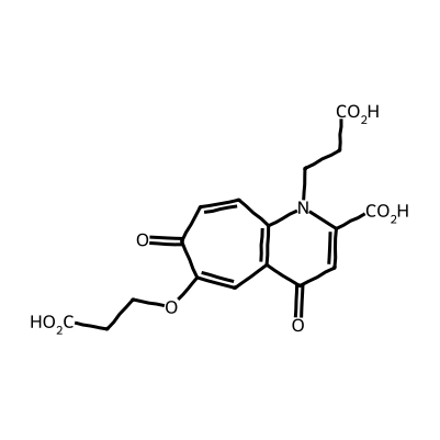 O=C(O)CCOc1cc2c(=O)cc(C(=O)O)n(CCC(=O)O)c2ccc1=O